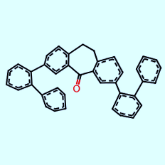 O=C1c2cc(-c3ccccc3-c3ccccc3)ccc2CCc2ccc(-c3ccccc3-c3ccccc3)cc21